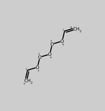 C=COOOOOC=C